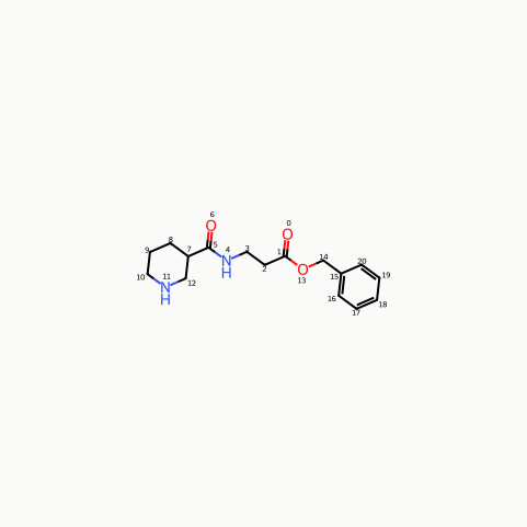 O=C(CCNC(=O)C1CCCNC1)OCc1ccccc1